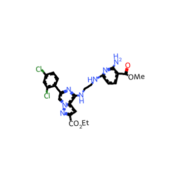 CCOC(=O)c1cc2c(NCCNc3ccc(C(=O)OC)c(N)n3)nc(-c3ccc(Cl)cc3Cl)cn2n1